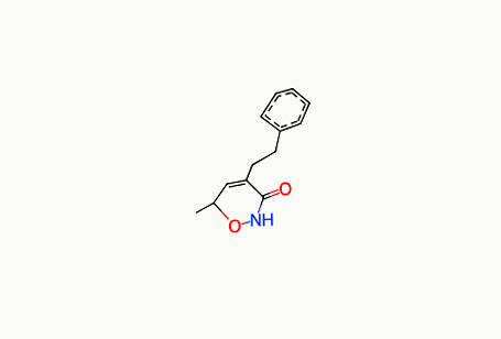 CC1C=C(CCc2ccccc2)C(=O)NO1